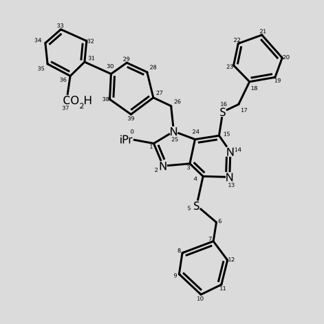 CC(C)c1nc2c(SCc3ccccc3)nnc(SCc3ccccc3)c2n1Cc1ccc(-c2ccccc2C(=O)O)cc1